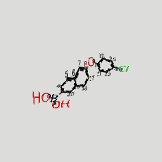 OB(O)c1ccc2cc(Oc3ccc(Cl)cc3)ccc2c1